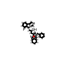 O=S(=O)(Cc1ccccc1)NC1C2CCCC1CC(CC[C@H](O)C[C@@H]1c3c(F)cccc3-c3cncn31)C2